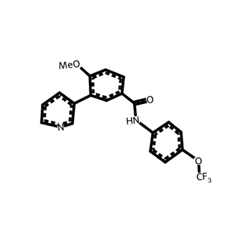 COc1ccc(C(=O)Nc2ccc(OC(F)(F)F)cc2)cc1-c1cccnc1